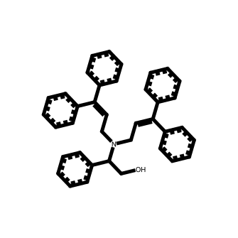 OCC(c1ccccc1)N(CC=C(c1ccccc1)c1ccccc1)CC=C(c1ccccc1)c1ccccc1